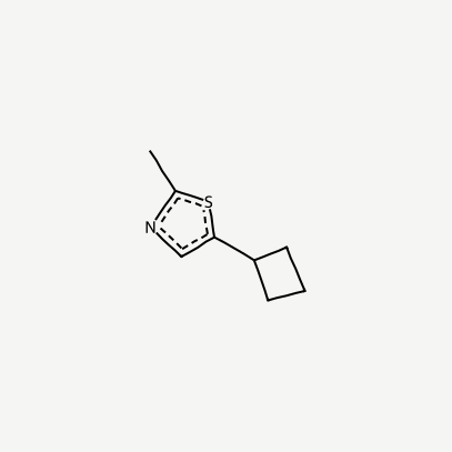 Cc1ncc(C2CCC2)s1